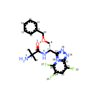 CC(C)(N)C(=O)N[C@H](COCc1ccccc1)c1nnc2c(F)cc(F)c(F)n12